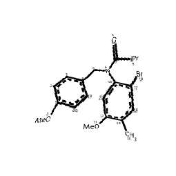 COc1ccc(CN(C(=O)C(C)C)c2cc(OC)c(C)cc2Br)cc1